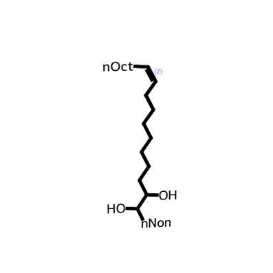 CCCCCCCC/C=C\CCCCCCCC(O)C(O)CCCCCCCCC